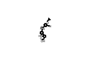 N#Cc1cc(-c2nc(-c3ccc4[nH]c5c(c4c3)CCC5CC(=O)O)no2)ccc1OCC1CC1